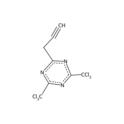 C#CCc1nc(C(Cl)(Cl)Cl)nc(C(Cl)(Cl)Cl)n1